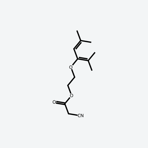 CC(C)=CC(OCCOC(=O)CC#N)=C(C)C